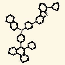 c1ccc(-c2c(-c3ccc(N(c4ccc(-c5ccc6oc7c(-c8ccccc8)cccc7c6c5)cc4)c4ccc5ccccc5c4)cc3)c3ccccc3c3ccccc23)cc1